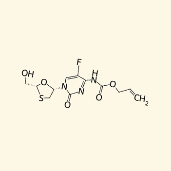 C=CCOC(=O)Nc1nc(=O)n([C@@H]2CS[C@H](CO)O2)cc1F